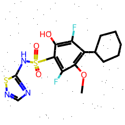 COc1c(F)c(S(=O)(=O)Nc2ncns2)c(O)c(F)c1C1CCCCC1